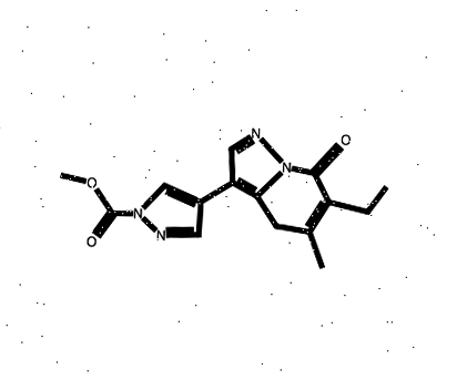 CCC1=C(C)Cc2c(-c3cnn(C(=O)OC)c3)cnn2C1=O